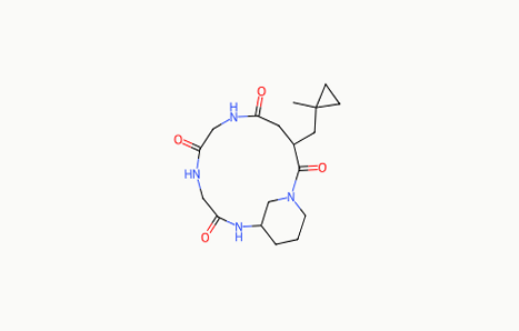 CC1(CC2CC(=O)NCC(=O)NCC(=O)NC3CCCN(C3)C2=O)CC1